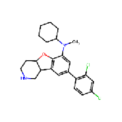 CN(c1cc(-c2ccc(Cl)cc2Cl)cc2c1OC1CCNCC21)C1CCCCC1